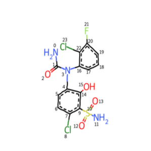 NC(=O)N(c1ccc(Cl)c(S(N)(=O)=O)c1O)c1cccc(F)c1Cl